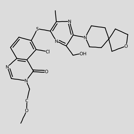 COCCn1cnc2ccc(Sc3nc(CO)c(N4CCC5(CCOC5)CC4)nc3C)c(Cl)c2c1=O